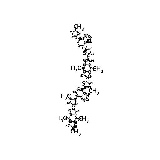 Cc1ccc(-c2ccc(-c3ccc(-c4cc5c(C)c6sc(-c7cc(C)c(-c8ccc(-c9sc(-c%10cc%11c(C)c%12sc(C)cc%12c(C)c%11s%10)cc9C)c9nsnc89)s7)cc6c(C)c5s4)s3)c3nsnc23)s1